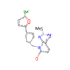 CSc1ncc2ccc(=O)n(Cc3ccc(-c4ccc(Br)o4)cc3)c2n1